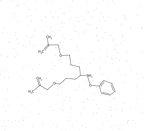 C=C(C)COCCCC(CCCOCC(=C)C)[SiH2]Oc1ccccc1